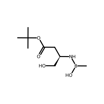 CB(O)N[C@@H](CO)CC(=O)OC(C)(C)C